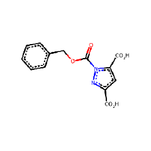 O=C(O)c1cc(C(=O)O)n(C(=O)OCc2ccccc2)n1